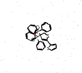 O=P(c1ccccc1)(c1ccccc1)C1(P(=O)(c2ccccc2)c2ccccc2)C=C(c2cccs2)SC1